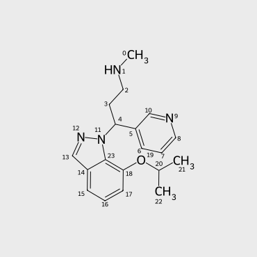 CNCCC(c1cccnc1)n1ncc2cccc(OC(C)C)c21